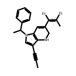 CC#Cc1cn(C(C)c2ccccc2)c2c1NCC(/C(CC)=C(\C)CC)=C2